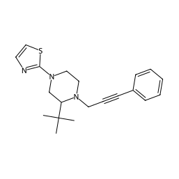 CC(C)(C)C1CN(c2nccs2)CCN1CC#Cc1ccccc1